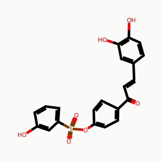 O=C(C=Cc1ccc(O)c(O)c1)c1ccc(OS(=O)(=O)c2cccc(O)c2)cc1